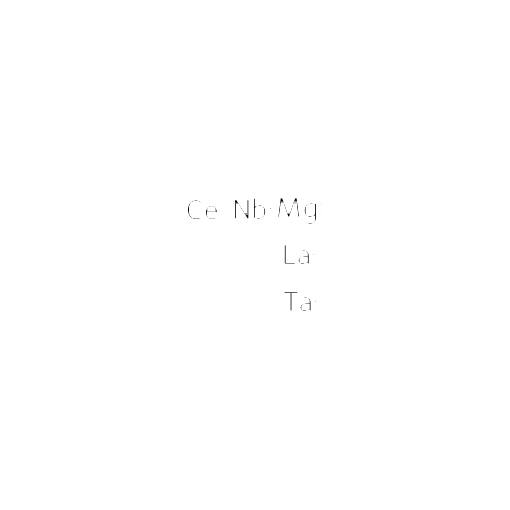 [Ce].[La].[Mg].[Nb].[Ta]